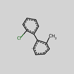 Cc1ccc[c]c1-c1ccccc1Cl